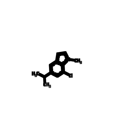 CC(C)c1cc(Cl)c2c(ccn2C)c1